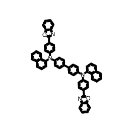 c1ccc2c(N(c3ccc(-c4ccc(N(c5ccc(-c6nc7ccccc7o6)cc5)c5cccc6ccccc56)cc4)cc3)c3ccc(-c4nc5ccccc5o4)cc3)cccc2c1